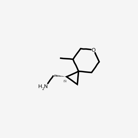 CC1COCCC12C[C@@H]2CN